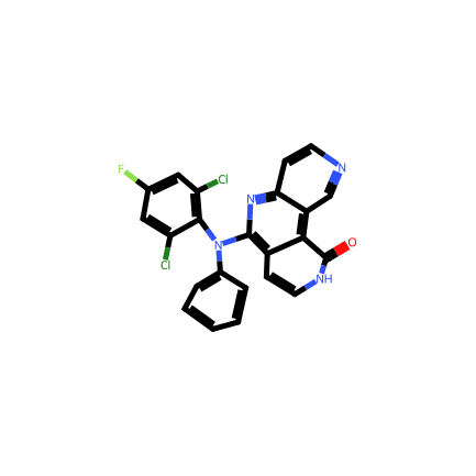 O=c1[nH]ccc2c(N(c3ccccc3)c3c(Cl)cc(F)cc3Cl)nc3ccncc3c12